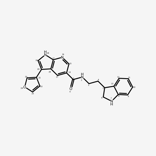 O=C(NCCC1CNc2ccccc21)c1cnc2[nH]cc(-c3ccoc3)c2c1